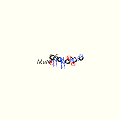 CNC(=O)c1ccccc1Nc1cc(Nc2ccc3c(c2)OCC2CN(c4cccnc4)CC(=O)N32)ncc1C(F)(F)F